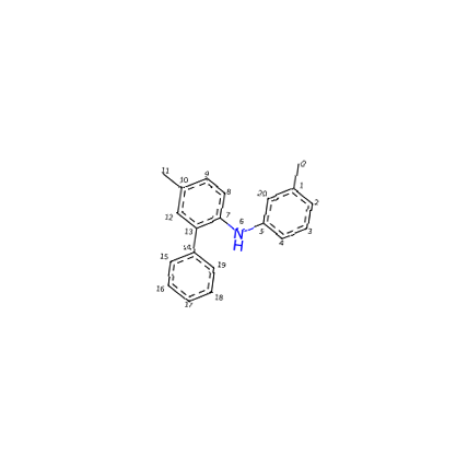 Cc1cccc(Nc2ccc(C)cc2-c2ccccc2)c1